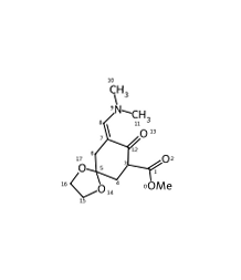 COC(=O)C1CC2(CC(=CN(C)C)C1=O)OCCO2